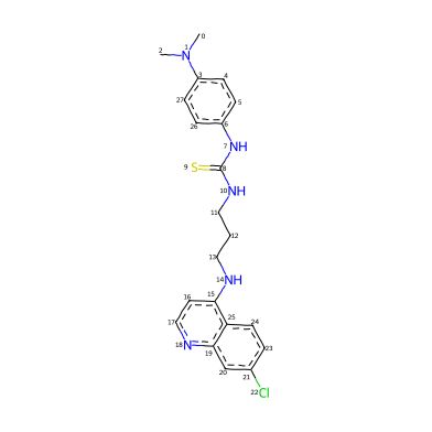 CN(C)c1ccc(NC(=S)NCCCNc2ccnc3cc(Cl)ccc23)cc1